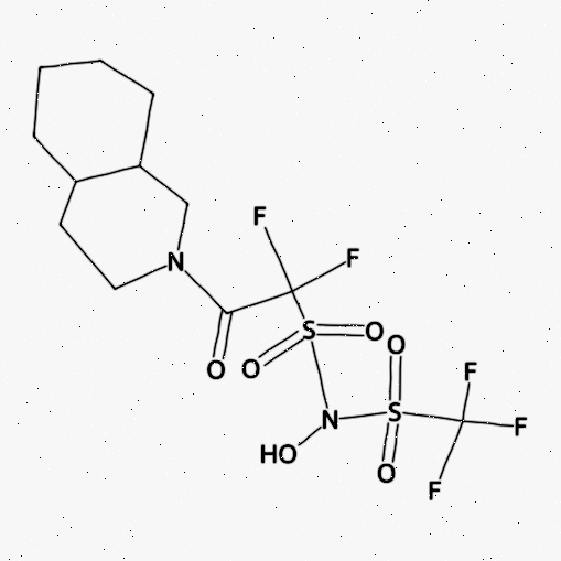 O=C(N1CCC2CCCCC2C1)C(F)(F)S(=O)(=O)N(O)S(=O)(=O)C(F)(F)F